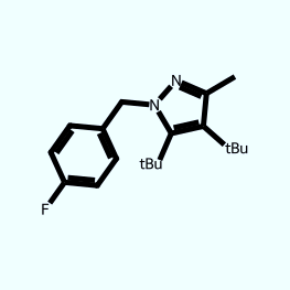 Cc1nn(Cc2ccc(F)cc2)c(C(C)(C)C)c1C(C)(C)C